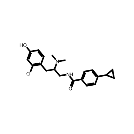 CN(C)C(CNC(=O)c1ccc(C2CC2)cc1)Cc1ccc(O)cc1Cl